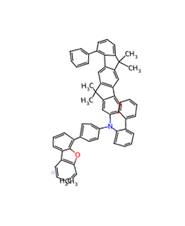 C=Cc1oc2c(-c3ccc(N(c4ccc5c(c4)C(C)(C)c4cc6c(cc4-5)C(C)(C)c4cccc(-c5ccccc5)c4-6)c4ccccc4-c4ccccc4)cc3)cccc2c1/C=C\C